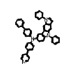 c1ccc(-c2ccc(N(c3ccc(-c4ccncc4)cc3)c3ccc4c(c3)c3cc5c(ccn5-c5ccccc5)cc3n4-c3ccccc3)cc2)cc1